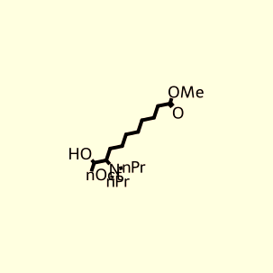 CCCCCCCCC(O)C(CCCCCCCC(=O)OC)N(CCC)CCC